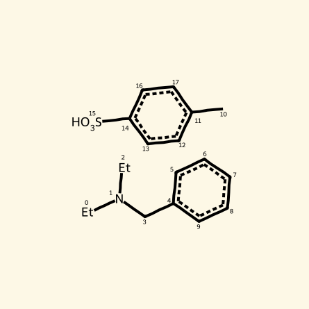 CCN(CC)Cc1ccccc1.Cc1ccc(S(=O)(=O)O)cc1